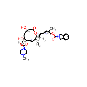 C/C(=C\C=C\[C@@H](C)COC(=O)N1Cc2ccccc2C1)[C@H]1OC(=O)C[C@@H](O)CC[C@](C)(O)[C@@H](OC(=O)N2CCN(C)CC2)/C=C/[C@@H]1C